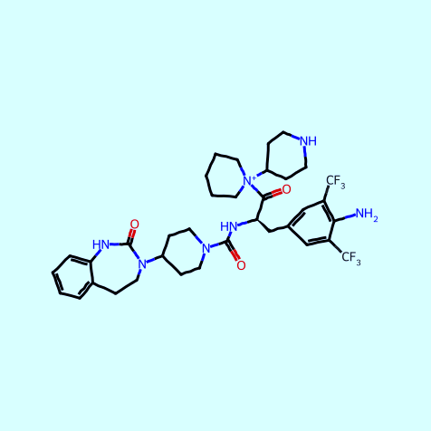 Nc1c(C(F)(F)F)cc(C[C@@H](NC(=O)N2CCC(N3CCc4ccccc4NC3=O)CC2)C(=O)[N+]2(C3CCNCC3)CCCCC2)cc1C(F)(F)F